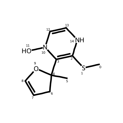 CSC1=C(C2(C)CC=CO2)N(O)C=CN1